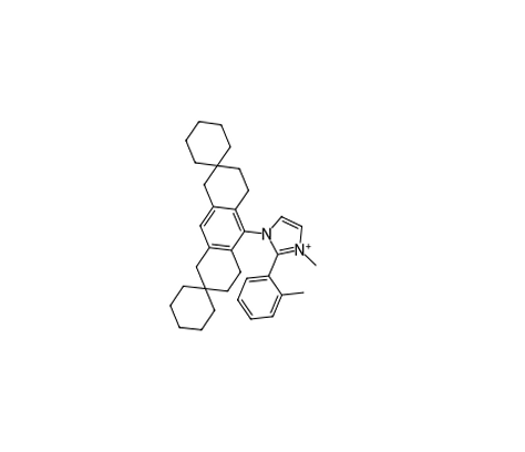 Cc1ccccc1-c1n(-c2c3c(cc4c2CCC2(CCCCC2)C4)CC2(CCCCC2)CC3)cc[n+]1C